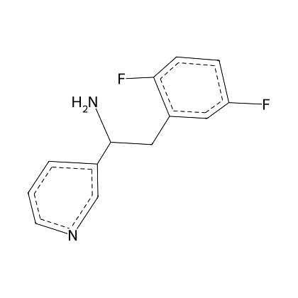 NC(Cc1cc(F)ccc1F)c1cccnc1